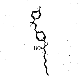 CCCCCCCC(O)Oc1ccc(C=CC(=O)c2ccc(F)cc2)cc1